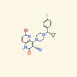 Cn1c(=O)c(C#N)c(N2CCN(C(c3ccc(F)cc3)C3CC3)CC2)c2nc(Br)ccc21